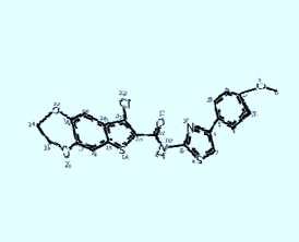 COc1ccc(-c2csc(NC(=O)c3sc4cc5c(cc4c3Cl)OCCO5)n2)cc1